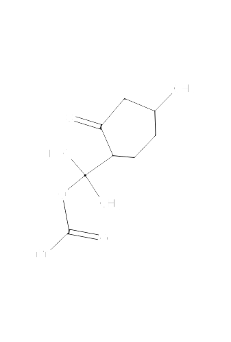 CC1CCC(C(C)(C)OC(=O)C(C)C)C(=O)C1